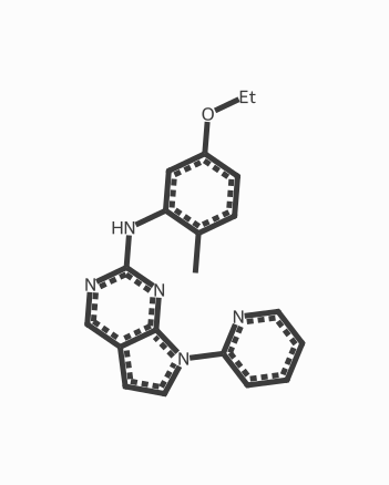 CCOc1ccc(C)c(Nc2ncc3ccn(-c4ccccn4)c3n2)c1